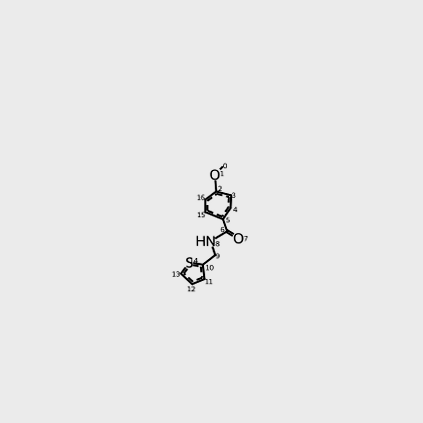 COc1ccc(C(=O)NCc2cccs2)cc1